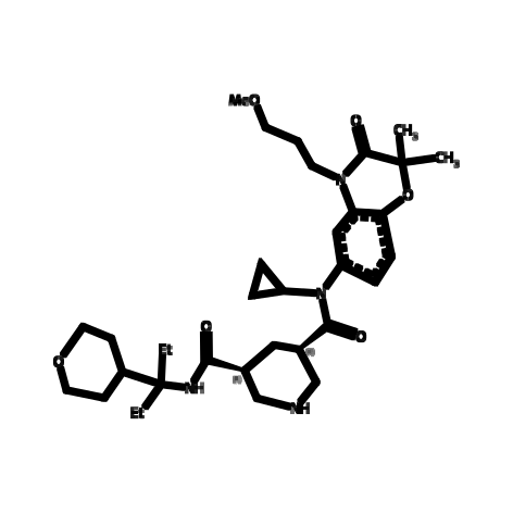 CCC(CC)(NC(=O)[C@@H]1CNC[C@H](C(=O)N(c2ccc3c(c2)N(CCCOC)C(=O)C(C)(C)O3)C2CC2)C1)C1CCOCC1